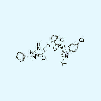 CC(C)(C)c1cc(NC(=O)c2c(Cl)cccc2OCC2CC(=O)n3nc(-c4ccccc4)nc3N2)n(-c2ccc(Cl)cc2)n1